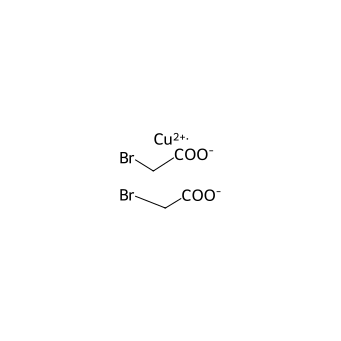 O=C([O-])CBr.O=C([O-])CBr.[Cu+2]